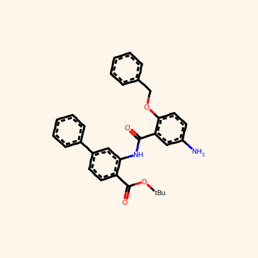 CC(C)(C)OC(=O)c1ccc(-c2ccccc2)cc1NC(=O)c1cc(N)ccc1OCc1ccccc1